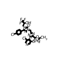 CC(=O)O[C@H](C)c1nc(Cn2nc(-c3ccc(Cl)cc3)n(CC(O)C(F)(F)F)c2=O)nn1-c1c(Cl)cncc1Cl